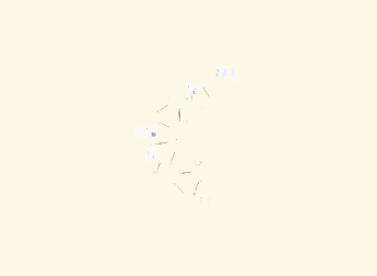 Cn1c(=O)c(-c2ccc(Cl)cc2Cl)cc2c3cc(-c4nc(CN)cs4)ccc3[nH]c21